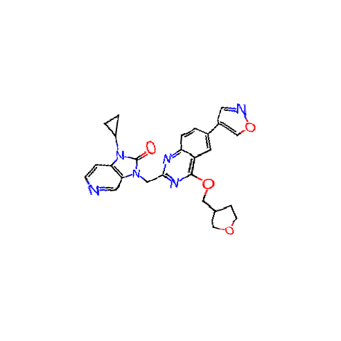 O=c1n(Cc2nc(OCC3CCOC3)c3cc(-c4cnoc4)ccc3n2)c2cnccc2n1C1CC1